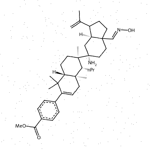 C=C(C)C1CCC2(/C=N/O)CC[C@@](N)([C@]3(C)CC[C@H]4C(C)(C)C(c5ccc(C(=O)OC)cc5)=CC[C@]4(C)[C@H]3CCC)C[C@@H]12